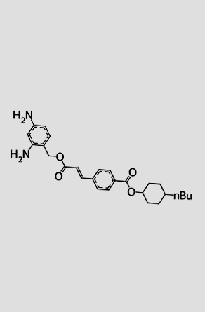 CCCCC1CCC(OC(=O)c2ccc(/C=C/C(=O)OCc3ccc(N)cc3N)cc2)CC1